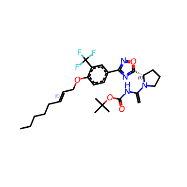 C=C(NC(=O)OC(C)(C)C)N1CCC[C@H]1c1nc(-c2ccc(OC/C=C/CCCCC)c(C(F)(F)F)c2)no1